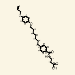 C=CCOc1ccc(OCCCCCCCc2ccc(C(=O)NCCC(=O)O)cc2)cc1